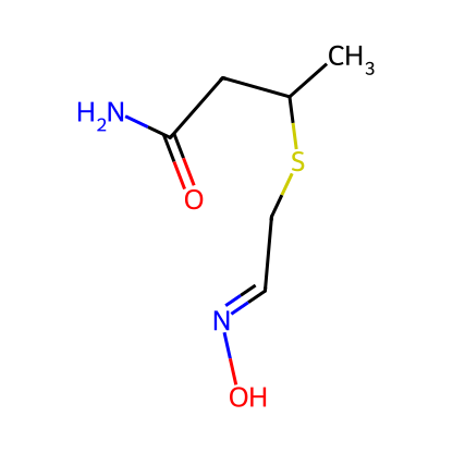 CC(CC(N)=O)SCC=NO